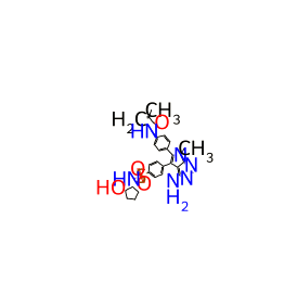 C=C(C)C(=O)Nc1ccc(-c2c(-c3ccc(S(=O)(=O)NC4CCCC4O)cc3)c3c(N)ncnc3n2C)cc1